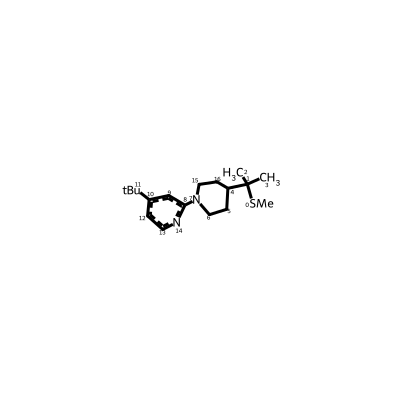 CSC(C)(C)C1CCN(c2cc(C(C)(C)C)ccn2)CC1